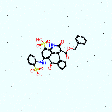 O=C(OCc1ccccc1)c1c2c3c(c(Nc4ccccc4S(=O)(=O)O)cc(S(=O)(=O)O)c3[nH]c1=O)C(=O)c1ccccc1-2